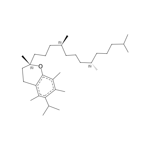 Cc1c(C)c(C(C)C)c(C)c2c1O[C@@](C)(CCC[C@@H](C)CCC[C@@H](C)CCCC(C)C)CC2